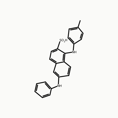 Cc1ccc(Nc2c(S(=O)(=O)O)ccc3cc(Nc4ccccc4)ccc23)cc1